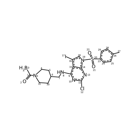 BC(=O)N1CCC(CNc2nc(Cl)nc3c2c(I)cn3S(=O)(=O)c2ccc(C)cc2)CC1